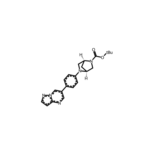 CC(C)(C)OC(=O)N1C[C@@H]2C[C@H]1CN2c1ccc(-c2cnc3ccnn3c2)cc1